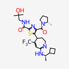 C[C@@H](NC1=NCCC(c2sc(C(=O)NCC(C)(C)O)nc2C(=O)N2CCC[C@@H]2C)C(C(F)(F)F)=C1)C1CCC1